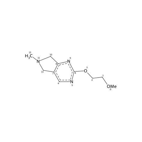 COCCOc1ncc2c(n1)CN(C)C2